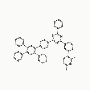 Cc1ccc(-c2cccc(-c3nc(-c4ccccc4)nc(-c4ccc(-c5cc(-c6ccccc6)c(-c6cccnc6)cc5-c5ccccc5)cc4)n3)c2)c(C)n1